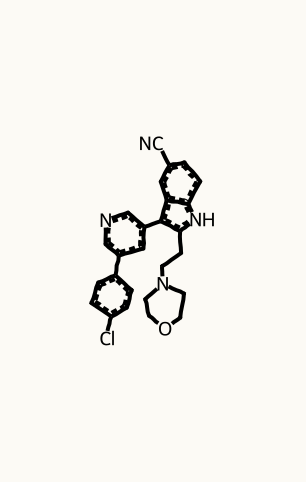 N#Cc1ccc2[nH]c(CCN3CCOCC3)c(-c3cncc(-c4ccc(Cl)cc4)c3)c2c1